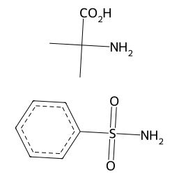 CC(C)(N)C(=O)O.NS(=O)(=O)c1ccccc1